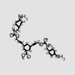 COC(=O)c1cc(C#CCOC(=O)N(C)Cc2ccc(N)cc2)cc(C#CCOC(=O)N(C)Cc2ccc(N)cc2)c1